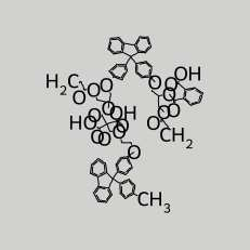 C=CC(=O)OCC(COc1ccc(C2(c3ccc(OCC(COC(=O)C=C)OC(=O)C(C(=O)O)(C(=O)O)C(=O)OCCOc4ccc(C5(c6ccc(C)cc6)c6ccccc6-c6ccccc65)cc4)cc3)c3ccccc3-c3ccccc32)cc1)OC(=O)c1ccccc1C(=O)O